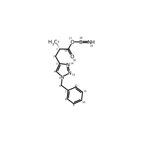 C[C@@H](Cc1cn(Cc2ccccc2)nn1)C(=O)OB=N